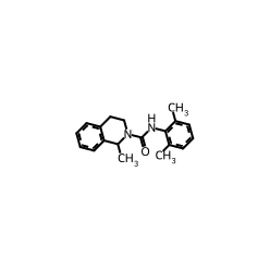 Cc1cccc(C)c1NC(=O)N1CCc2ccccc2C1C